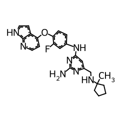 CC1(NCc2cc(Nc3ccc(Oc4ccnc5[nH]ccc45)c(F)c3)nc(N)n2)CCCC1